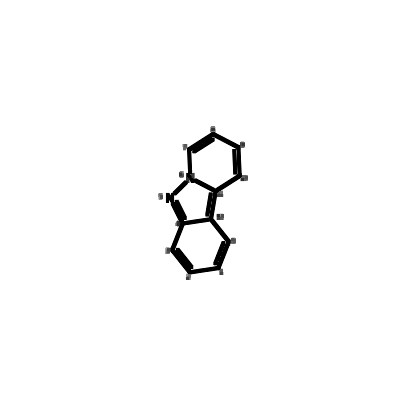 [c]1cccc2nn3ccccc3c12